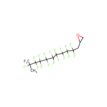 CC(F)(C(F)(F)F)C(F)(F)C(F)(F)C(F)(F)C(F)(F)C(F)(F)C(F)(F)C(F)(F)C(F)(F)CC1CO1